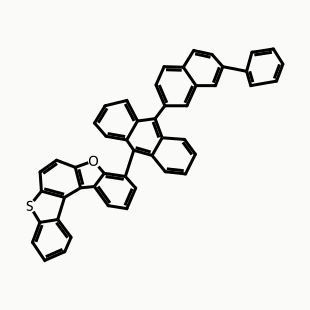 c1ccc(-c2ccc3ccc(-c4c5ccccc5c(-c5cccc6c5oc5ccc7sc8ccccc8c7c56)c5ccccc45)cc3c2)cc1